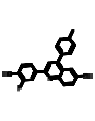 Cc1ccc(-c2cc(-c3ccc(O)c(F)c3)nc3ccc(O)cc23)cc1